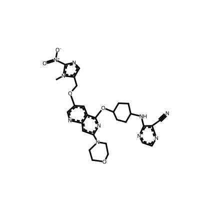 Cn1c(COc2cnc3cc(N4CCOCC4)nc(OC4CCC(Nc5nccnc5C#N)CC4)c3c2)cnc1[N+](=O)[O-]